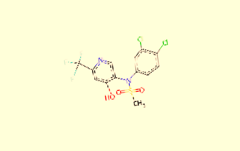 CS(=O)(=O)N(c1ccc(Cl)c(Cl)c1)c1cnc(C(F)(F)F)cc1O